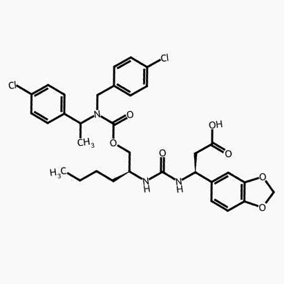 CCCC[C@@H](COC(=O)N(Cc1ccc(Cl)cc1)C(C)c1ccc(Cl)cc1)NC(=O)N[C@@H](CC(=O)O)c1ccc2c(c1)OCO2